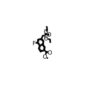 CCOP(=O)(Cc1cc(F)c2ccc(C(=O)OC)cc2c1)OCC